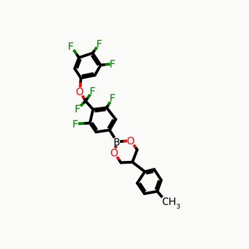 Cc1ccc(C2COB(c3cc(F)c(C(F)(F)Oc4cc(F)c(F)c(F)c4)c(F)c3)OC2)cc1